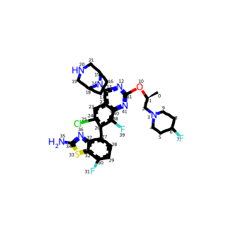 C[C@@H](CN1CCC(F)CC1)Oc1nc(N2C3CCC2CNC3)c2cc(Cl)c(-c3ccc(F)c4sc(N)nc34)c(F)c2n1